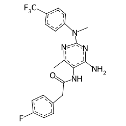 Cc1nc(N(C)c2ccc(C(F)(F)F)cc2)nc(N)c1NC(=O)Cc1ccc(F)cc1